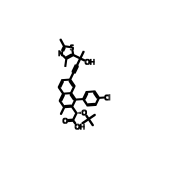 Cc1nc(C)c(C(C)(O)C#Cc2ccc3cc(C)c([C@H](OC(C)(C)C)C(=O)O)c(-c4ccc(Cl)cc4)c3c2)s1